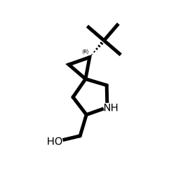 CC(C)(C)[C@H]1CC12CNC(CO)C2